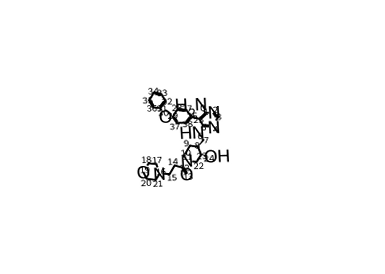 Nc1ncnc(NC[C@@H]2CCN(C(=O)CCN3CCOCC3)C[C@H]2O)c1-c1ccc(Oc2ccccc2)cc1